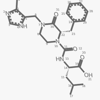 Cc1nc[nH]c1CN1CCN(C(=O)N[C@@H](CC(C)C)C(=O)O)[C@@H](Cc2ccccc2)C1=O